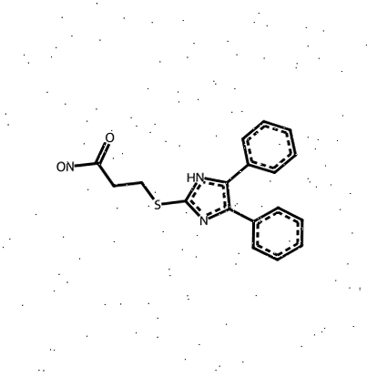 O=NC(=O)CCSc1nc(-c2ccccc2)c(-c2ccccc2)[nH]1